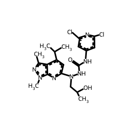 Cc1nn(C)c2nc(N(CC(C)O)NC(=O)Nc3cc(Cl)nc(Cl)c3)cc(C(C)C)c12